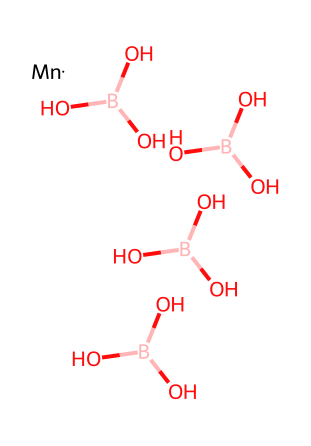 OB(O)O.OB(O)O.OB(O)O.OB(O)O.[Mn]